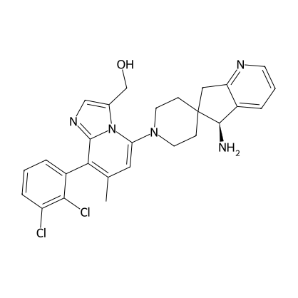 Cc1cc(N2CCC3(CC2)Cc2ncccc2[C@H]3N)n2c(CO)cnc2c1-c1cccc(Cl)c1Cl